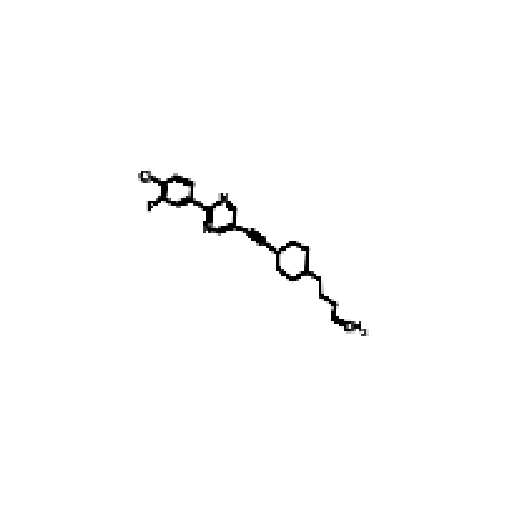 C=CCCCC1CCC(C#Cc2cnc(-c3ccc(Cl)c(F)c3)nc2)CC1